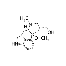 CO[C@]12C[C@@H](CO)CN(C)[C@@H]1Cc1c[nH]c3cccc2c13